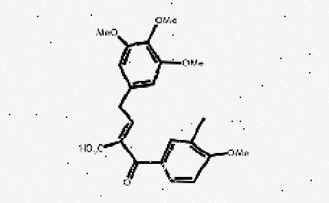 COc1ccc(C(=O)C(=CCc2cc(OC)c(OC)c(OC)c2)C(=O)O)cc1C